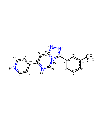 FC(F)(F)c1cccc(-c2nnc3cc(-c4ccncc4)ncn23)c1